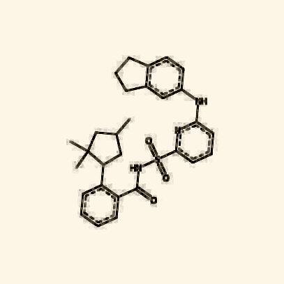 CC1CC(c2ccccc2C(=O)NS(=O)(=O)c2cccc(Nc3ccc4c(c3)CCC4)n2)C(C)(C)C1